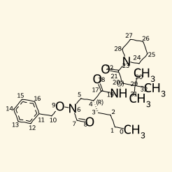 CCCC[C@H](CN(C=O)OCc1ccccc1)C(=O)N[C@H](C(=O)N1CCCCC1)C(C)(C)C